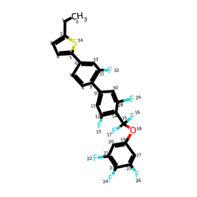 CCc1ccc(-c2ccc(-c3cc(F)c(C(F)(F)Oc4cc(F)c(F)c(F)c4)c(F)c3)c(F)c2)s1